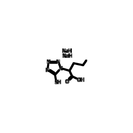 CCCC(C(=O)O)n1nnnc1S.[NaH].[NaH]